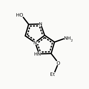 CCOc1[nH]n2cc(O)nc2c1N